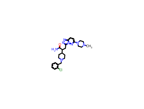 CN1CCN(c2ccc3nnc(CC(C(N)=O)C4CCN(Cc5ccccc5Cl)CC4)n3n2)CC1